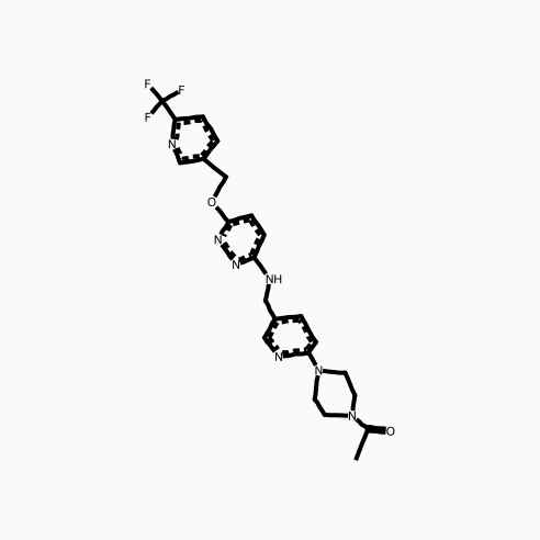 CC(=O)N1CCN(c2ccc(CNc3ccc(OCc4ccc(C(F)(F)F)nc4)nn3)cn2)CC1